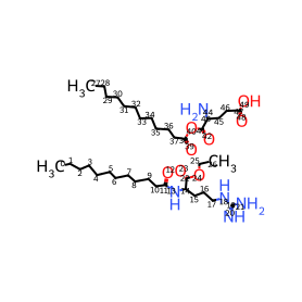 CCCCCCCCCCCC(=O)NC(CCCNC(=N)N)C(=O)OCC.CCCCCCCCCCCC(=O)OC(=O)C(N)CCC(=O)O